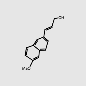 COc1ccc2cc(/C=C/CO)ccc2c1